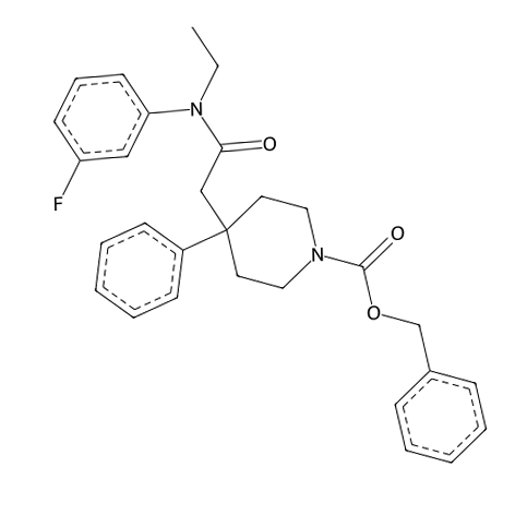 CCN(C(=O)CC1(c2ccccc2)CCN(C(=O)OCc2ccccc2)CC1)c1cccc(F)c1